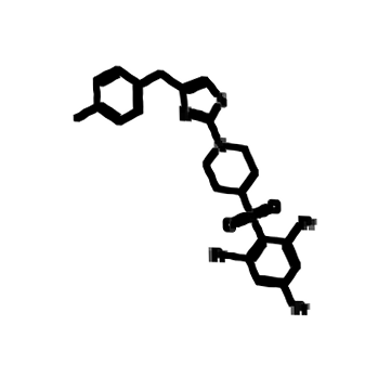 Cc1ccc(Cc2csc(N3CCC(S(=O)(=O)c4c(C(C)C)cc(C(C)C)cc4C(C)C)CC3)n2)cc1